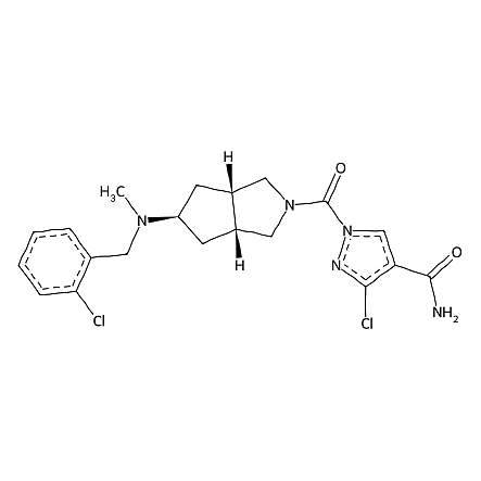 CN(Cc1ccccc1Cl)[C@H]1C[C@@H]2CN(C(=O)n3cc(C(N)=O)c(Cl)n3)C[C@@H]2C1